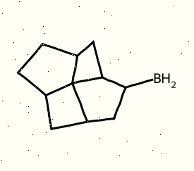 BC1CC2CC3CCC4CC1C324